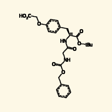 CC(C)(C)OC(=O)[C@H](Cc1ccc(OCC(=O)O)cc1)NC(=O)CNC(=O)OCc1ccccc1